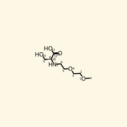 COCCOCCN[C@@H](CO)C(=O)O